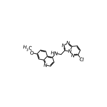 COc1ccc2c(NCc3nnc4ccc(Cl)nn34)ccnc2c1